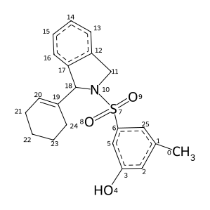 Cc1cc(O)cc(S(=O)(=O)N2Cc3ccccc3C2C2=CCCCC2)c1